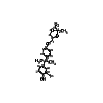 CC1(C)OCC(COc2ccc(C(C)(C)c3ccc(O)c(I)c3)cc2)O1